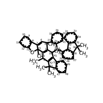 CC1C2=C3C(C)(C=C4c5ccccc5OC42C)c2ccccc2N(c2cccc4c2-c2ccccc2C4(C)C)C3(C)C2=C1C(C)(C)c1ccccc12